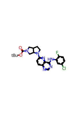 CC(C)(C)OC(=O)N1CC2CCN(c3ccc4ncnc(Nc5cc(Cl)ccc5F)c4n3)C2C1